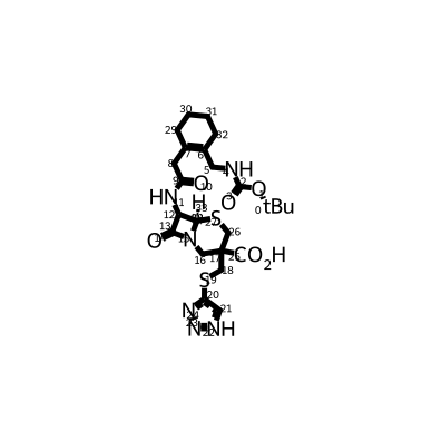 CC(C)(C)OC(=O)NCC1=C(CC(=O)NC2C(=O)N3CC(CSc4c[nH]nn4)(C(=O)O)CS[C@H]23)CCCC1